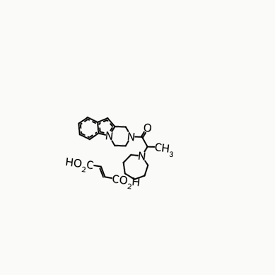 CC(C(=O)N1CCn2c(cc3ccccc32)C1)N1CCCCCC1.O=C(O)C=CC(=O)O